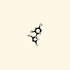 CC(C)(C)c1cc(Cl)nn1-c1ncc(C#N)cc1Cl